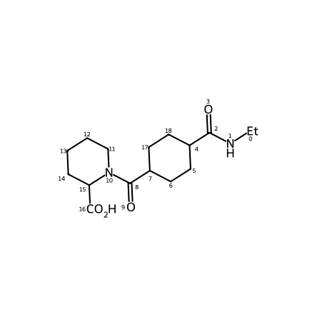 CCNC(=O)C1CCC(C(=O)N2CCCCC2C(=O)O)CC1